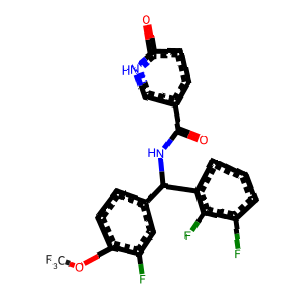 O=C(NC(c1ccc(OC(F)(F)F)c(F)c1)c1cccc(F)c1F)c1ccc(=O)[nH]c1